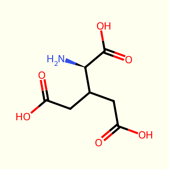 N[C@@H](C(=O)O)C(CC(=O)O)CC(=O)O